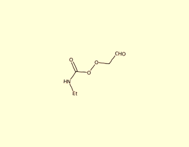 CCNC(=O)OOCC=O